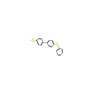 [S]c1ccc(-c2ccc(Sc3ccccc3)cc2)cc1